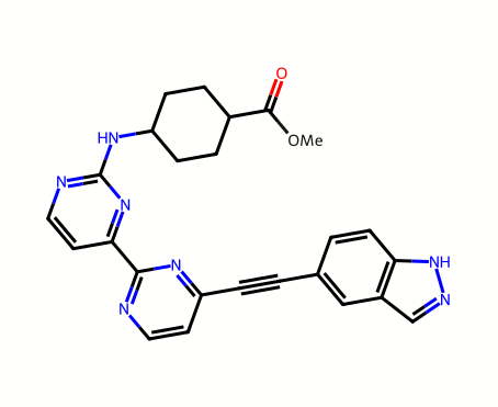 COC(=O)C1CCC(Nc2nccc(-c3nccc(C#Cc4ccc5[nH]ncc5c4)n3)n2)CC1